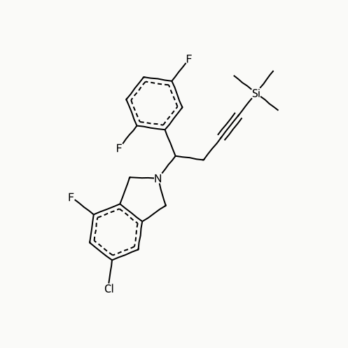 C[Si](C)(C)C#CCC(c1cc(F)ccc1F)N1Cc2cc(Cl)cc(F)c2C1